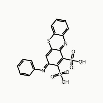 O=S(=O)(O)c1c2nc3ccccc3sc-2cc(=Nc2ccccc2)c1S(=O)(=O)O